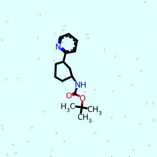 CC(C)(C)OC(=O)NC1CCCC(c2ccccn2)C1